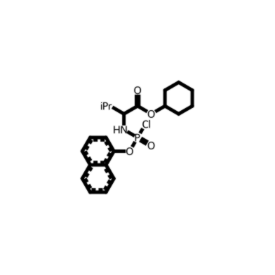 CC(C)C(NP(=O)(Cl)Oc1cccc2ccccc12)C(=O)OC1CCCCC1